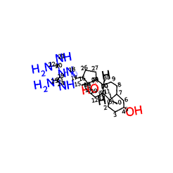 C[C@]12CCC(O)CC1CC[C@@H]1[C@H]2CC[C@]2(C)C(/C=N/N(C(=N)N)C(=N)N)CC[C@@]12O